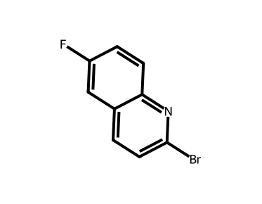 Fc1ccc2nc(Br)ccc2c1